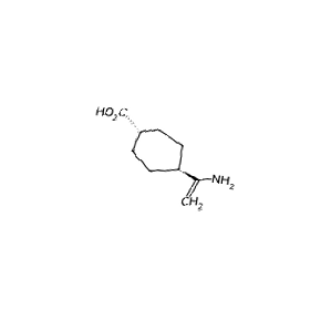 C=C(N)[C@H]1CC[C@H](C(=O)O)CC1